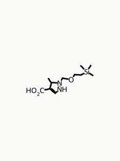 CC1C(C(=O)O)=CNN1COCC[Si](C)(C)C